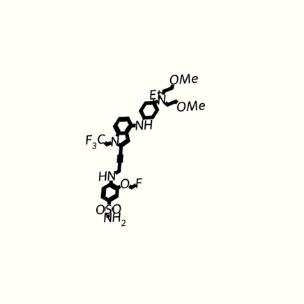 CC[C@]1(N(CCOC)CCOC)CC[C@H](Nc2cccc3c2cc(C#CCNc2ccc(S(N)(=O)=O)cc2OCF)n3CC(F)(F)F)CC1